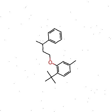 Cc1ccc(C(C)(C)C)c(OCCC(C)c2ccccc2)c1